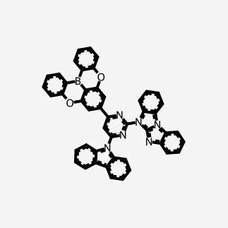 c1ccc2c(c1)Oc1cc(-c3cc(-n4c5ccccc5c5ccccc54)nc(-n4c5ccccc5n5c6ccccc6nc45)n3)cc3c1B2c1ccccc1O3